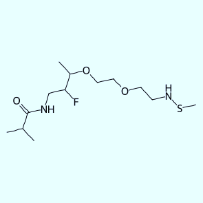 CSNCCOCCOC(C)C(F)CNC(=O)C(C)C